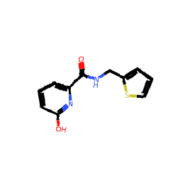 O=C(NCc1cccs1)c1cccc(O)n1